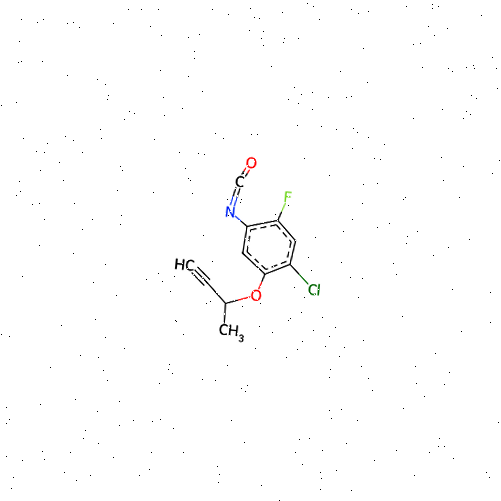 C#CC(C)Oc1cc(N=C=O)c(F)cc1Cl